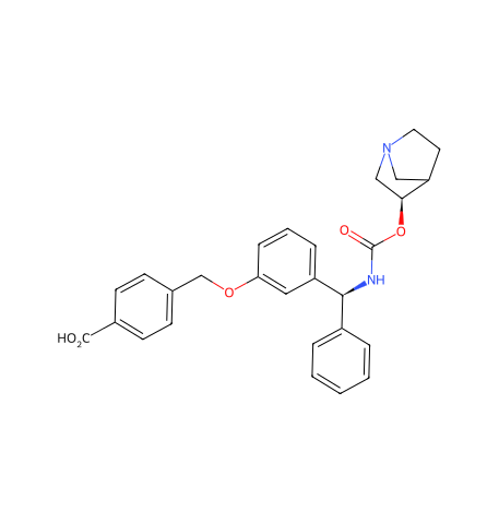 O=C(N[C@@H](c1ccccc1)c1cccc(OCc2ccc(C(=O)O)cc2)c1)O[C@H]1CN2CCC1C2